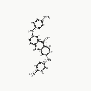 Nc1ccc(Nc2ccc3oc4cc(Nc5ccc(N)nc5)ccc4c(=O)c3c2)nc1